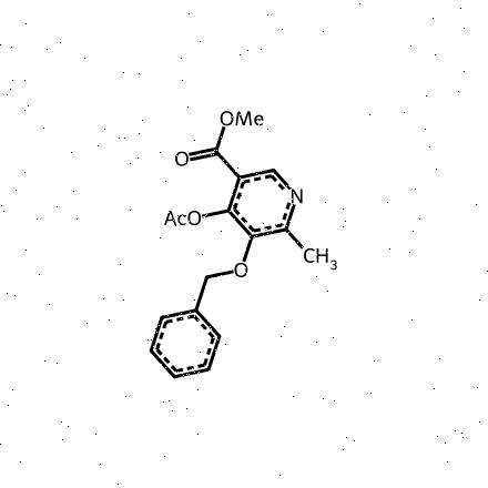 COC(=O)c1cnc(C)c(OCc2ccccc2)c1OC(C)=O